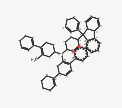 [SiH3]C1=C(C2=CCCC=C2)CCC(N(C2=C(c3ccccc3)C=CC(C3=CCCCC3)C2)C2C=CC(C3(C4=CCCC=C4)c4ccccc4C4C=CC=CC43)CC2)C1